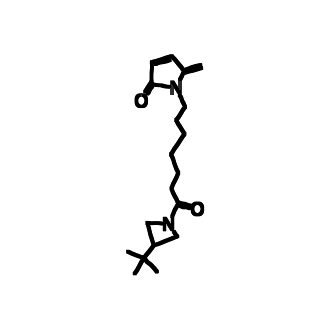 C=C1C=CC(=O)N1CCCCCCC(=O)N1CC(C(C)(C)C)C1